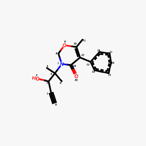 C#CC(O)C(C)(C)N1COC(C)=C(c2ccccc2)C1=O